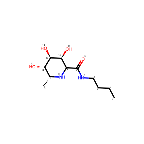 CCCCNC(=O)C1N[C@H](C)[C@H](O)[C@@H](O)[C@H]1O